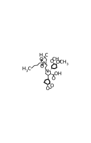 CCCCCS(=O)(=O)N(CCC)CCN1CC(c2ccc3c(c2)OCO3)[C@H](C(=O)O)[C@H]1c1ccc(OC)c(OC)c1